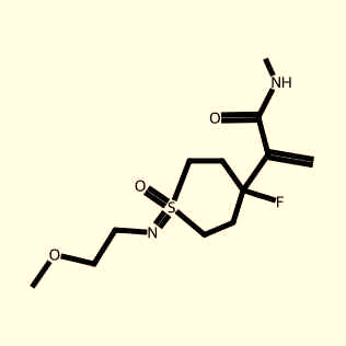 C=C(C(=O)NC)C1(F)CCS(=O)(=NCCOC)CC1